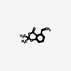 C=Cc1cccc2c1C(=O)OC(C)(C)O2